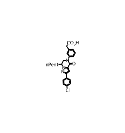 CCCCCC1CN(c2cccc(CC(=O)O)c2)C(=O)c2cc(-c3ccc(Cl)cc3)nn21